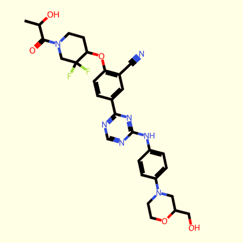 CC(O)C(=O)N1CCC(Oc2ccc(-c3ncnc(Nc4ccc(N5CCOC(CO)C5)cc4)n3)cc2C#N)C(F)(F)C1